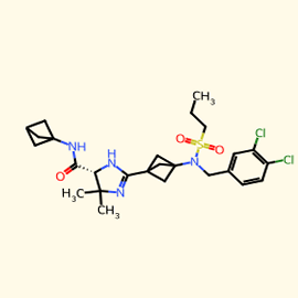 CCCS(=O)(=O)N(Cc1ccc(Cl)c(Cl)c1)C12CC(C3=NC(C)(C)[C@H](C(=O)NC45CC(C4)C5)N3)(C1)C2